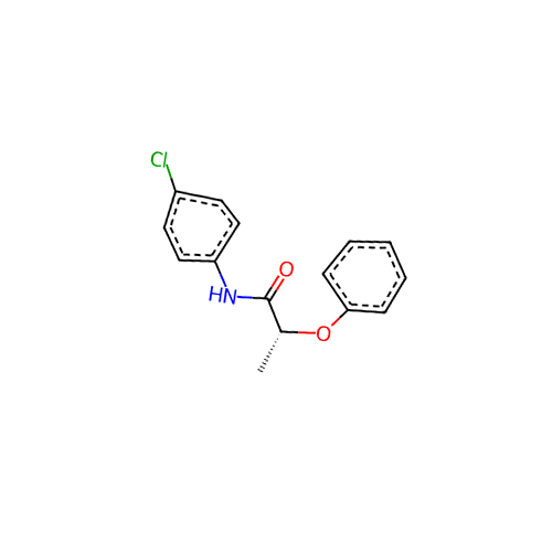 C[C@@H](Oc1ccccc1)C(=O)Nc1ccc(Cl)cc1